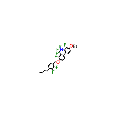 C=CCCc1ccc(COc2ccc3c(c2F)C(F)(F)N(F)c2c-3ccc(OCC)c2F)c(F)c1F